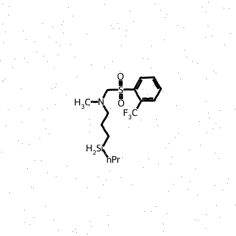 CCC[SiH2]CCCN(C)CS(=O)(=O)c1ccccc1C(F)(F)F